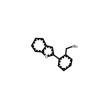 CC(C)(C)Cc1ccccc1-c1cc2ccccc2o1